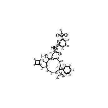 CC1C(CC2CCC2)CCC[C@@](c2ccccc2)(N(C)C)CCCN(CC(=O)Nc2cccc(S(C)(=O)=O)n2)C1O